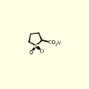 O=C(O)C1CCCS1(=O)=O